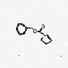 O=C(OCc1ccccc1)N1C=CCC1